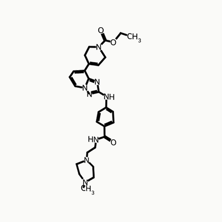 CCOC(=O)N1CC=C(c2cccn3nc(Nc4ccc(C(=O)NCCN5CCN(C)CC5)cc4)nc23)CC1